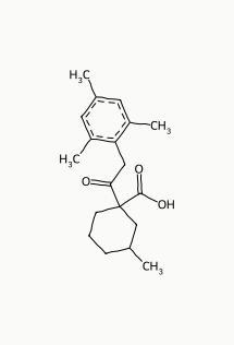 Cc1cc(C)c(CC(=O)C2(C(=O)O)CCCC(C)C2)c(C)c1